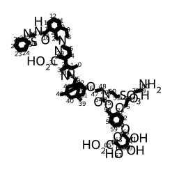 Cc1c(-c2ccc(N3CCc4cccc(C(=O)Nc5nc6ccccc6s5)c4C3)nc2C(=O)O)cnn1CC12CC3(C)CC(C)(C1)CC(OCCN(CCS(=O)(=O)O)C(=O)OCc1ccc(O[C@@H]4O[C@H](C(=O)O)[C@@H](O)[C@H](O)[C@H]4O)cc1OCCOCCN)(C3)C2